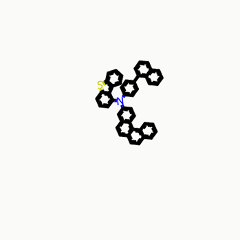 c1ccc2c(-c3ccc(N(c4ccc5c(ccc6ccc7ccccc7c65)c4)c4cccc5sc6ccccc6c45)cc3)cccc2c1